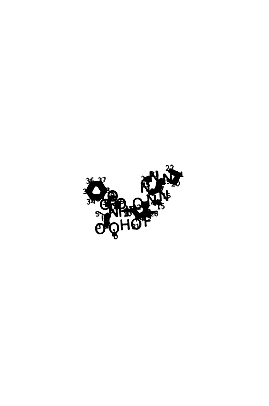 COC(=O)[C@H](C)N[P@](=O)(OC[C@H]1O[C@@H](n2cnc3c(N4CCC4)ncnc32)[C@](C)(F)[C@@H]1O)Oc1ccccc1